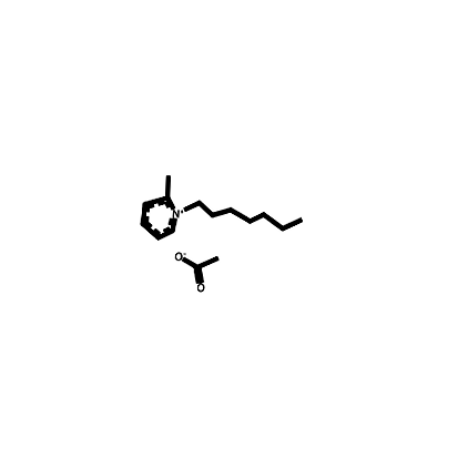 CC(=O)[O-].CCCCCCC[n+]1ccccc1C